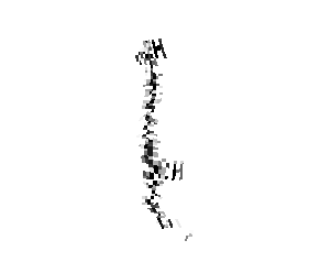 CCCCC=CCC=CCC(O)CCCCCCCCCCCCCCCCCCC(=O)O